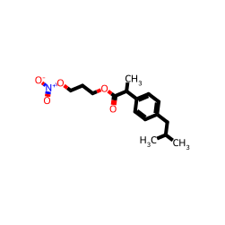 CC(C)Cc1ccc(C(C)C(=O)OCCCO[N+](=O)[O-])cc1